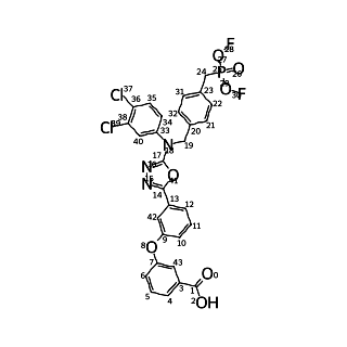 O=C(O)c1cccc(Oc2cccc(-c3nnc(N(Cc4ccc(CP(=O)(OF)OF)cc4)c4ccc(Cl)c(Cl)c4)o3)c2)c1